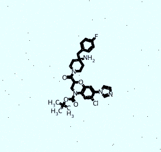 CC(C)(C)OC(=O)N1CC(C(=O)N2CCC(N)(Cc3ccc(F)cc3)CC2)Oc2cc(-n3ccnc3)c(Cl)cc21